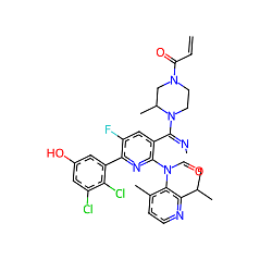 C=CC(=O)N1CCN(/C(=N/C)c2cc(F)c(-c3cc(O)cc(Cl)c3Cl)nc2N(C=O)c2c(C)ccnc2C(C)C)C(C)C1